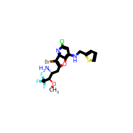 CO[C@H]([C@H](N)Cc1oc2c(NCc3cccs3)cc(Cl)nc2c1Br)C(F)(F)F